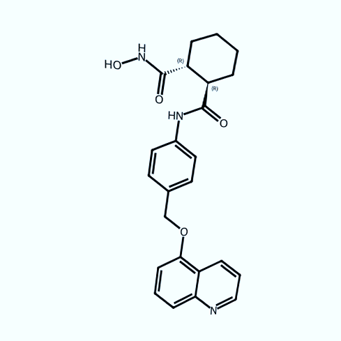 O=C(NO)[C@@H]1CCCC[C@H]1C(=O)Nc1ccc(COc2cccc3ncccc23)cc1